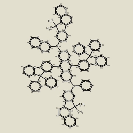 CC1(C)c2cc(N(c3ccccc3)c3ccc4c(-c5ccc6c(c5)C(c5ccccc5)(c5ccccc5)c5ccccc5-6)c5cc(N(c6ccc7c(c6)C(C)(C)c6c-7ccc7ccccc67)c6ccc7ccccc7c6)ccc5c(-c5ccc6c(c5)C(c5ccccc5)(c5ccccc5)c5ccccc5-6)c4c3)ccc2-c2ccc3ccccc3c21